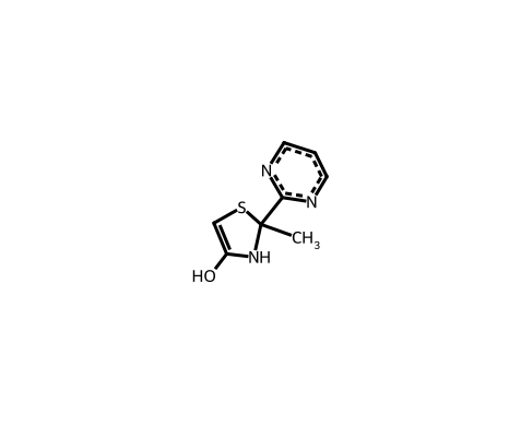 CC1(c2ncccn2)NC(O)=CS1